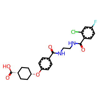 O=C(NCCNC(=O)c1ccc(F)cc1Cl)c1ccc(O[C@H]2CC[C@@H](C(=O)O)CC2)cc1